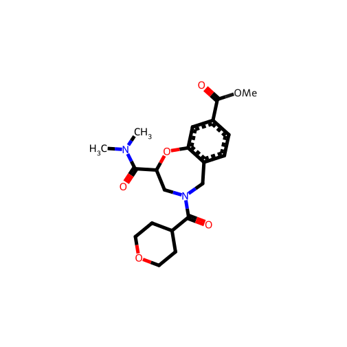 COC(=O)c1ccc2c(c1)OC(C(=O)N(C)C)CN(C(=O)C1CCOCC1)C2